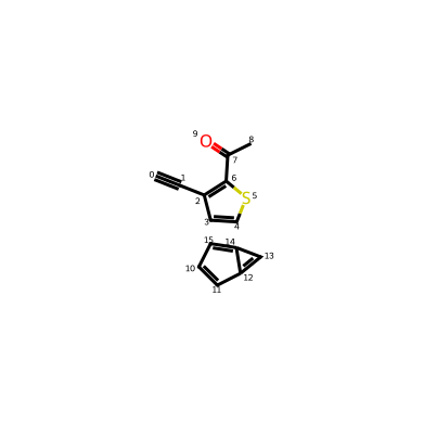 C#Cc1ccsc1C(C)=O.c1cc2cc-2c1